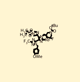 COc1ccc(Cn2nc(C(F)(F)F)nc2-c2nc3nc4c(cn3c2-c2cn(S(=O)(=O)N(C)C)cn2)CN(C(=O)OC(C)(C)C)CC4(F)F)cc1